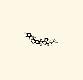 CNC(C)C(=O)NC(C(=O)N1CCCC1C(=O)Nc1cc2c(Nc3ccc(F)c(Cl)c3F)ncnc2cc1O)C(C)(C)C